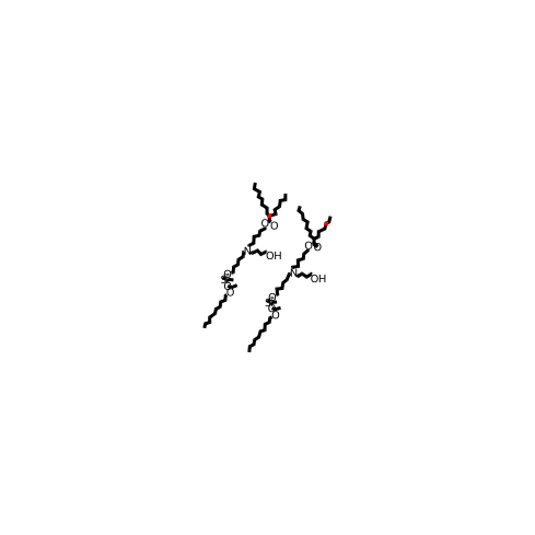 CCCCCCCCCCOC(C)O[Si](C)(C)OCCCCCCN(CCCCO)CCCCCCOC(=O)C(CCCCCC)CCCCCCCC.CCCCCCCCCCOC(C)O[Si](C)(C)OCCCCCCN(CCCCO)CCCCCCOC(=O)C(CCCCCC)CCCCCCCC